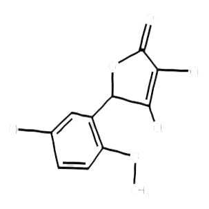 COc1ccc(Cl)cc1C1OC(=O)C(Cl)=C1Cl